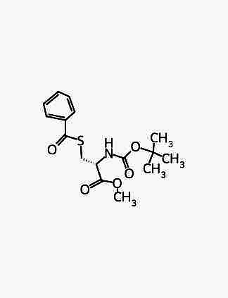 COC(=O)[C@H](CSC(=O)c1ccccc1)NC(=O)OC(C)(C)C